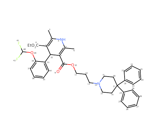 CCOC(=O)C1=C(C)NC(C)=C(C(=O)OCCCN2CCC(c3ccccc3)(c3ccccc3)CC2)C1c1ccccc1OC(F)F